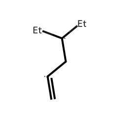 C=[C]C[C](CC)CC